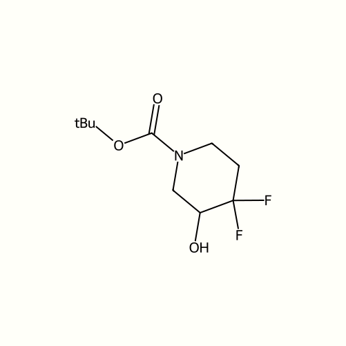 CC(C)(C)OC(=O)N1CCC(F)(F)C(O)C1